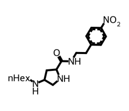 CCCCCCNC1CNC(C(=O)NCCc2ccc([N+](=O)[O-])cc2)C1